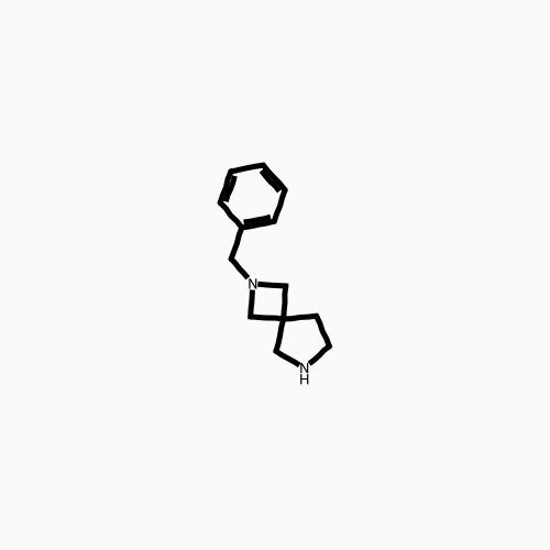 c1ccc(CN2CC3(CCNC3)C2)cc1